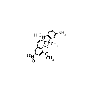 COc1cc([N+](=O)[O-])cc2c1OC1(C=C2)N(C)c2ccc(N)cc2C1(C)C